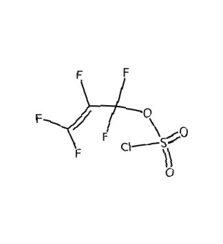 O=S(=O)(Cl)OC(F)(F)C(F)=C(F)F